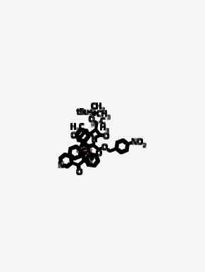 C[C@@H](O[Si](C)(C)C(C)(C)C)C1C(=O)N(C(C(=O)OCc2ccc([N+](=O)[O-])cc2)=P(c2ccccc2)(c2ccccc2)c2ccccc2)C1[C@@H](C)C(=O)c1cn2cnc(C(=O)c3cccnc3)c2s1